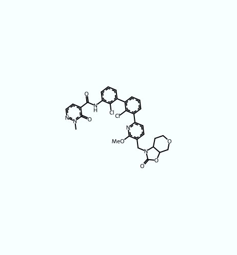 COc1nc(-c2cccc(-c3cccc(NC(=O)c4ccnn(C)c4=O)c3Cl)c2Cl)ccc1CN1C(=O)OC2COCCC21